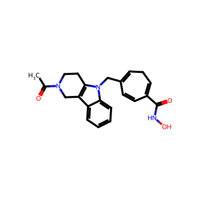 CC(=O)N1CCc2c(c3ccccc3n2CC2=CCC=C(C(=O)NO)C=C2)C1